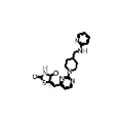 O=C1NC(=O)/C(=C\c2ccnc(N3CCC(CNc4ccccn4)CC3)n2)S1